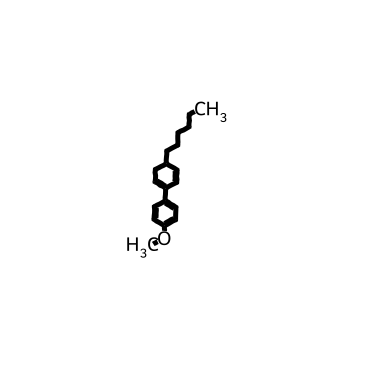 CCCCCCC1C=CC(c2ccc(OC)cc2)=CC1